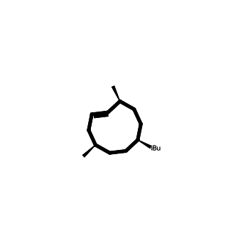 CCC(C)[C@H]1CC[C@@H](C)C/C=C/[C@@H](C)CC1